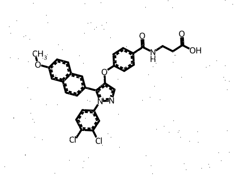 COc1ccc2cc(-c3c(Oc4ccc(C(=O)NCCC(=O)O)cc4)cnn3-c3ccc(Cl)c(Cl)c3)ccc2c1